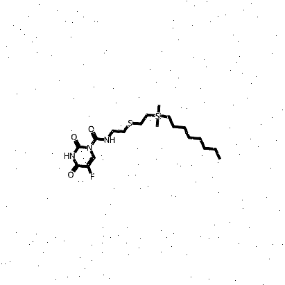 CCCCCCCC[Si](C)(C)CCSCCNC(=O)n1cc(F)c(=O)[nH]c1=O